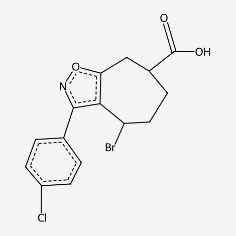 O=C(O)C1CCC(Br)c2c(-c3ccc(Cl)cc3)noc2C1